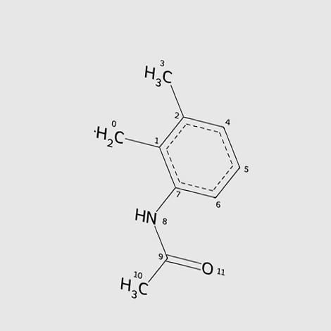 [CH2]c1c(C)cccc1NC(C)=O